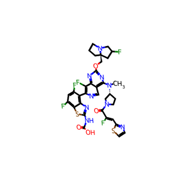 CN(c1nc(OC[C@@]23CCCN2CC(F)C3)nc2c(F)c(-c3c(F)cc(F)c4sc(NC(=O)O)nc34)ncc12)[C@@H]1CCN(C(=O)/C(F)=C/c2nccs2)C1